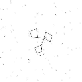 C1CC(C2(C3CCC3)CCC2)C1